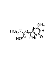 Nc1nc2c(ncn2OC(CO)CCO)c(=O)[nH]1